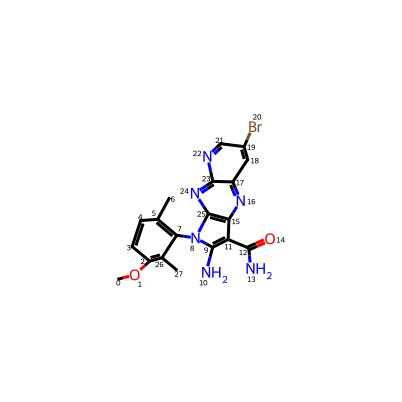 COc1ccc(C)c(-n2c(N)c(C(N)=O)c3nc4cc(Br)cnc4nc32)c1C